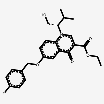 CCOC(=O)c1cn([C@H](CO)C(C)C)c2ccc(OCc3ccc(F)cc3)cc2c1=O